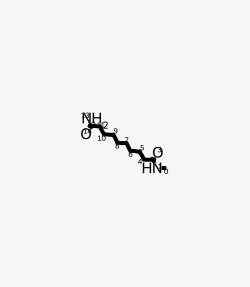 CNC(=O)CCCCCCCCC(N)=O